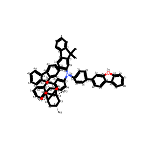 CC1(C)c2ccccc2-c2ccc(N(c3ccc(-c4ccc5c(c4)oc4ccccc45)cc3)c3ccc4c(c3)C3(c5ccccc5-c5ccccc53)c3ccccc3C43[C@H]4C[C@@H](C)C[C@@H]3C[C@@H](C)C4)cc21